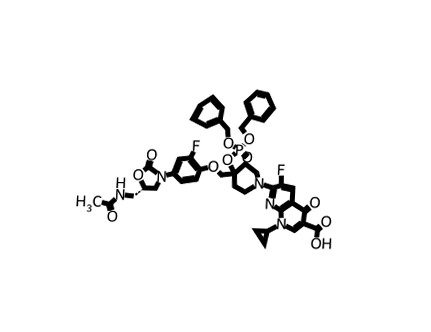 CC(=O)NC[C@H]1CN(c2ccc(OCC3(OP(=O)(OCc4ccccc4)OCc4ccccc4)CCN(c4nc5c(cc4F)c(=O)c(C(=O)O)cn5C4CC4)CC3)c(F)c2)C(=O)O1